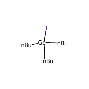 CCC[CH2][Ge]([I])([CH2]CCC)[CH2]CCC